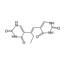 CCC(=Cc1c[nH]c(=O)[nH]c1=O)c1c[nH]c(=O)[nH]c1=O